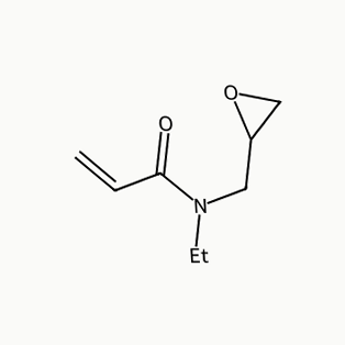 C=CC(=O)N(CC)CC1CO1